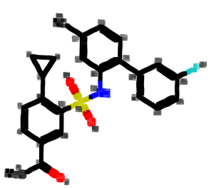 COC(=O)c1ccc(C2CC2)c(S(=O)(=O)Nc2cc(C#N)ccc2-c2cccc(F)c2)c1